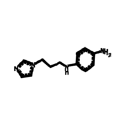 Nc1ccc(NCCCn2ccnc2)cc1